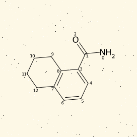 NC(=O)c1cccc2c1CCCC2